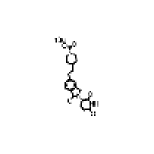 CC(C)(C)OC(=O)N1CCC(CCc2ccc3c(c2)CN(C2CCC(=O)NC2=O)C3=O)CC1